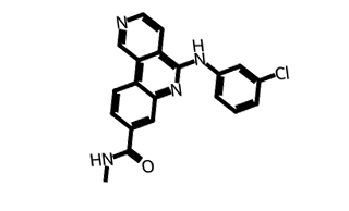 CNC(=O)c1ccc2c(c1)nc(Nc1cccc(Cl)c1)c1ccncc12